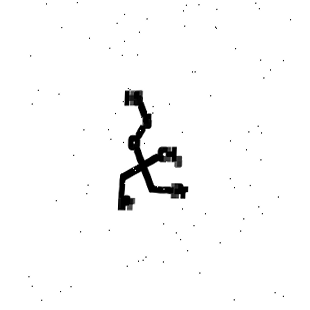 CC(C)CC(C)(CC(C)C)OSS